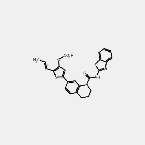 C/C=C/c1sc(-c2ccc3c(c2)N(C(=O)Nc2nc4ccccc4s2)CCC3)nc1OC(=O)O